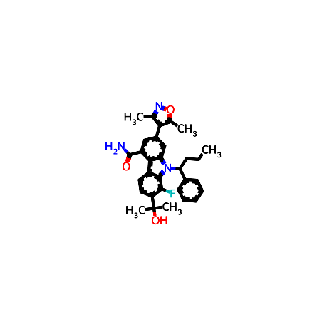 CCCC(c1ccccc1)n1c2cc(-c3c(C)noc3C)cc(C(N)=O)c2c2ccc(C(C)(C)O)c(F)c21